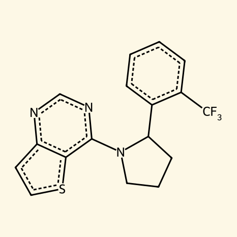 FC(F)(F)c1ccccc1C1CCCN1c1ncnc2ccsc12